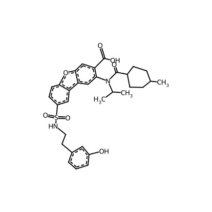 CC1CCC(C(=O)N(c2cc3c(cc2C(=O)O)oc2ccc(S(=O)(=O)NCCc4cccc(O)c4)cc23)C(C)C)CC1